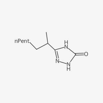 CCCCCCC(C)c1n[nH]c(=O)[nH]1